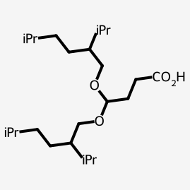 CC(C)CCC(COC(CCC(=O)O)OCC(CCC(C)C)C(C)C)C(C)C